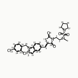 CN(CCN1C(=O)S/C(=C\c2ccc3c(cnn3Cc3ccc(Cl)cc3C(F)(F)F)c2)C1=O)S(=O)(=O)N1CCCC1